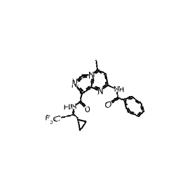 Cc1cc(NC(=O)c2ccccc2)nc2c(C(=O)NC(C3CC3)C(F)(F)F)ncn12